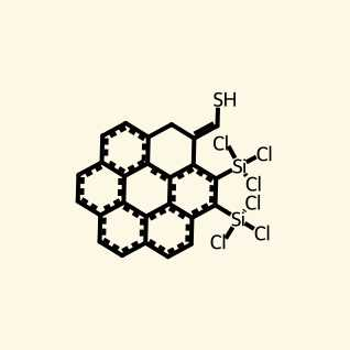 SC=C1Cc2ccc3ccc4ccc5ccc6c([Si](Cl)(Cl)Cl)c([Si](Cl)(Cl)Cl)c1c1c2c3c4c5c61